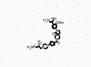 COc1cc(N2CCC3(CCN(C(=O)c4ccc(N5CCN(C/C(N)=C/SN)CC5)cc4)CC3)C2=O)ccc1/C(C=N)=C/N